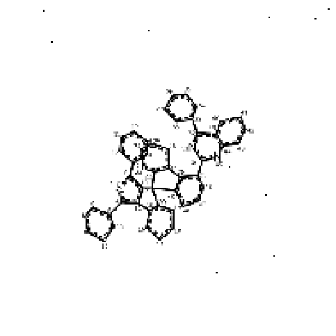 c1ccc(-c2sc(-c3ccccc3)c3c2-c2ccccc2C32c3ccccc3-c3c(-c4nc(-c5ccccc5)c5ccccc5n4)cccc32)cc1